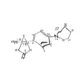 c1cc([C@]23CNC[C@H]2C3)ccc1N1CCCCC1